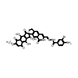 COC1=CC(=O)c2c(O)c3c(c(O)c2C1=O)C(=O)[C@]1(CCc2cc4cc(/C=N/NC(=O)c5ccc(N)c(Br)c5)[nH]c(=O)c4c(O)c21)C3=O